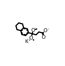 COC(CCC(=O)[O-])(OC)c1ccc2c(c1)CCCC2.[K+]